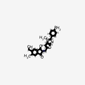 CCc1cc2c(cc1C)C(=O)/C(=C/c1cc3c(nc(-c4ccc(P)cc4)n3C)o1)C2=O